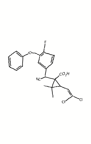 CC1(C)C(C=C(Cl)Cl)C1(C(=O)O)C(C#N)c1ccc(F)c(Oc2ccccc2)c1